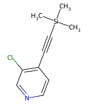 C[Si](C)(C)C#Cc1ccncc1Cl